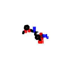 CCOc1ccccc1OCCN[C@H](C)Cc1ccc(CO)c(S(N)(=O)=O)c1